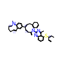 C=C/C(=C\C)Sc1cccc2nc(N3C(=C)/C=C\C(c4ccc5c(c4)/C=C/CC/C=C/N5C)=C/CC4=C3C=CCC4)nc(C)c12